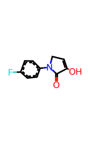 O=C1C(O)=CCN1c1ccc(F)cc1